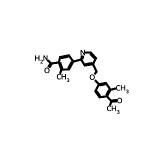 CC(=O)c1ccc(OCc2ccnc(-c3ccc(C(N)=O)c(C)c3)c2)cc1C